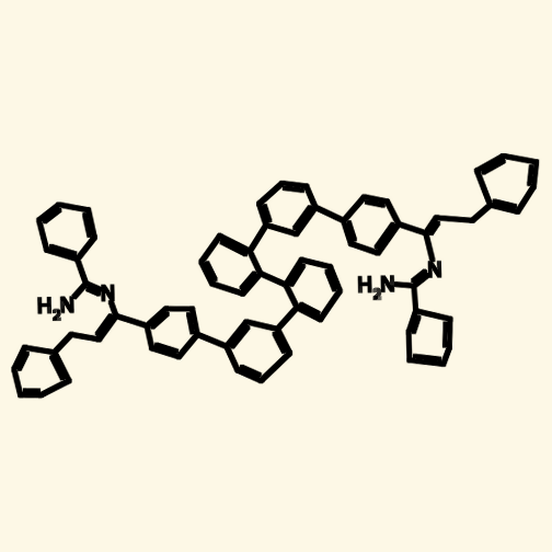 N/C(=N\C(=C/Cc1ccccc1)c1ccc(-c2cccc(-c3ccccc3-c3ccccc3-c3cccc(-c4ccc(C(=C/Cc5ccccc5)/N=C(\N)c5ccccc5)cc4)c3)c2)cc1)c1ccccc1